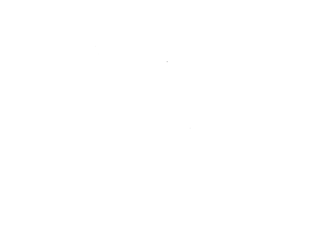 CC(c1ccccc1)C(C)(C)CCl